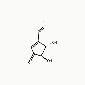 C/C=C/C1=CC(=O)[C@H](O)[C@H]1O